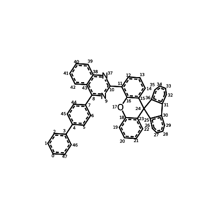 c1ccc(-c2ccc(-c3nc(-c4cccc5c4Oc4ccccc4C54c5ccccc5-c5ccccc54)nc4ccccc34)cc2)cc1